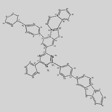 C1=CCC(c2ccc(-c3cc(-c4nc(-c5ccccc5)nc(-c5ccc(-c6ccc7c(c6)Cc6ccccc6-7)cc5)n4)cc4oc5c6ccccc6ccc5c34)cc2)C=C1